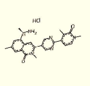 Cc1cc([C@@H](C)N)c2cc(-c3cnc(-c4ccn(C)c(=O)c4C)nc3)n(C)c(=O)c2c1.Cl